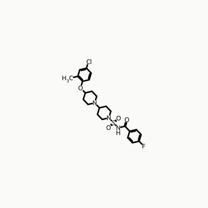 Cc1cc(Cl)ccc1OC1CCN(C2CCN(S(=O)(=O)NC(=O)c3ccc(F)cc3)CC2)CC1